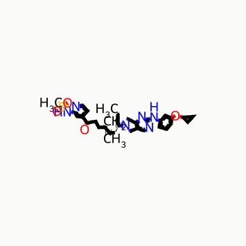 C=C(CCC(=O)c1ccnc(NS(C)(=O)=O)c1)[C@H](C)C[C@H](CCC)N1Cc2cnc(Nc3cccc(OC4CC4)c3)nc2C1